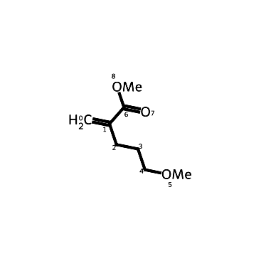 C=C(CCCOC)C(=O)OC